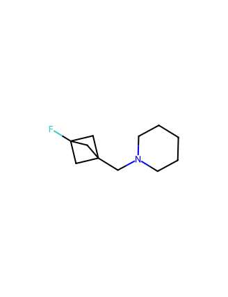 FC12CC(CN3CCCCC3)(C1)C2